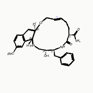 COc1ccc2c(c1)[C@H]1NC[C@@H](O)[C@H](Cc3ccccc3)NC(=O)[C@H](C(N)=O)CC/C=C/CO[C@@H]1C2